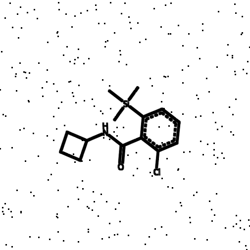 C[Si](C)(C)c1cccc(Cl)c1C(=O)NC1CCC1